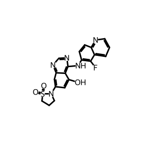 O=S1(=O)CCCN1c1cc(O)c2c(Nc3ccc4ncccc4c3F)ncnc2c1